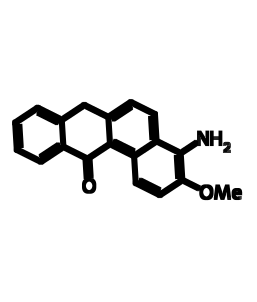 COc1ccc2c3c(ccc2c1N)Cc1ccccc1C3=O